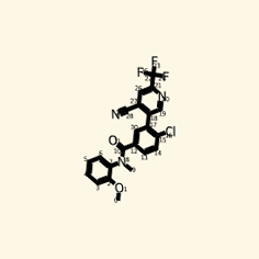 COc1ccccc1N(C)C(=O)c1ccc(Cl)c(-c2cnc(C(F)(F)F)cc2C#N)c1